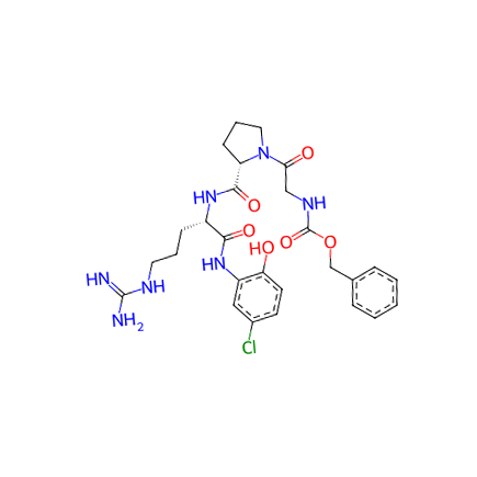 N=C(N)NCCC[C@H](NC(=O)[C@@H]1CCCN1C(=O)CNC(=O)OCc1ccccc1)C(=O)Nc1cc(Cl)ccc1O